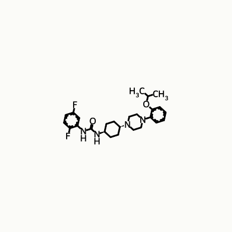 CC(C)Oc1ccccc1N1CCN([C@H]2CC[C@H](NC(=O)Nc3cc(F)ccc3F)CC2)CC1